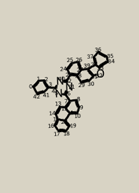 c1ccc(-c2nc(-c3cccc4c3ccc3ccccc34)nc(-c3cccc4c3ccc3oc5ccccc5c34)n2)cc1